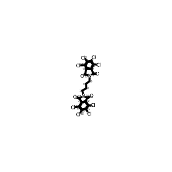 O=C1c2c(Cl)c(Cl)c(Cl)c(Cl)c2C(=O)N1CCCCN1C(=O)c2c(Cl)c(Cl)c(Cl)c(Cl)c2C1=O